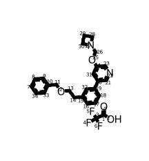 O=C(O)C(F)(F)F.c1ccc(COCCc2cccc(-c3cncc(OCN4CCC4)c3)c2)cc1